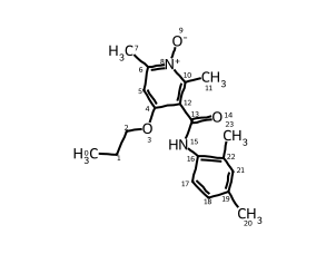 CCCOc1cc(C)[n+]([O-])c(C)c1C(=O)Nc1ccc(C)cc1C